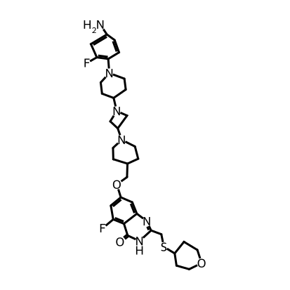 Nc1ccc(N2CCC(N3CC(N4CCC(COc5cc(F)c6c(=O)[nH]c(CSC7CCOCC7)nc6c5)CC4)C3)CC2)c(F)c1